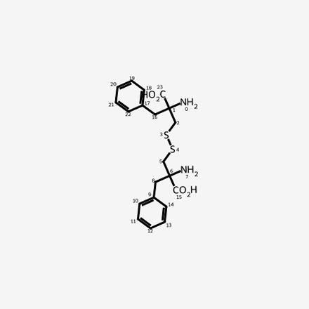 NC(CSSCC(N)(Cc1ccccc1)C(=O)O)(Cc1ccccc1)C(=O)O